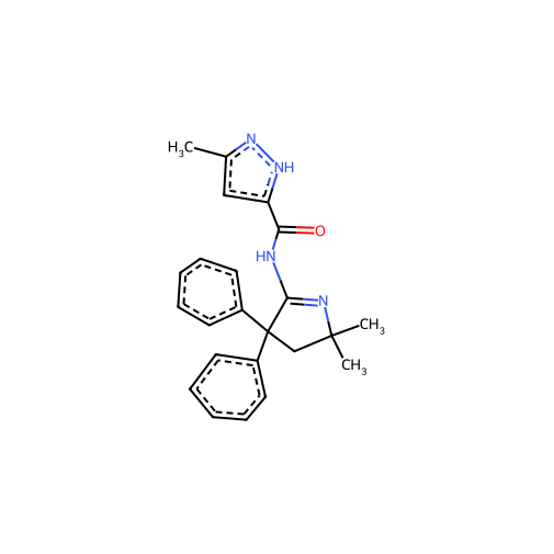 Cc1cc(C(=O)NC2=NC(C)(C)CC2(c2ccccc2)c2ccccc2)[nH]n1